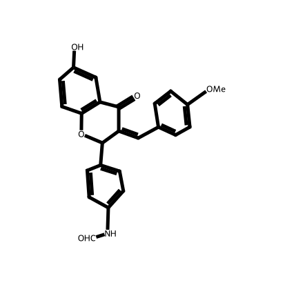 COc1ccc(C=C2C(=O)c3cc(O)ccc3OC2c2ccc(NC=O)cc2)cc1